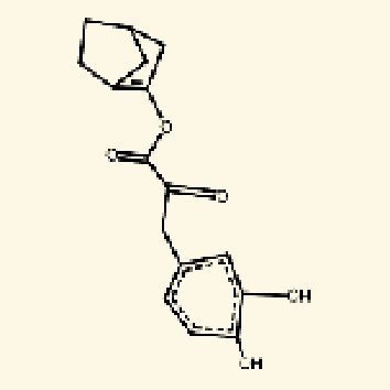 O=C(Cc1ccc(O)c(O)c1)C(=O)OC1=C2CCC(C2)C1